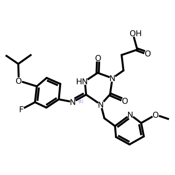 COc1cccc(Cn2c(=O)n(CCC(=O)O)c(=O)[nH]/c2=N\c2ccc(OC(C)C)c(F)c2)n1